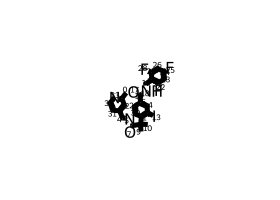 Cc1cc(CN2C(=O)C(C)(C)c3c(I)cc(C(=O)NCc4c(F)cc(F)cc4F)cc32)ccn1